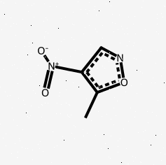 Cc1oncc1[N+](=O)[O-]